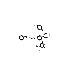 COc1cc(CO[C@H]2CNC[C@@H](OCc3cc(OC)c(OC)c(OC)c3)C2c2ccc(OCCCOCc3ccccc3)cc2)cc(OC)c1OC